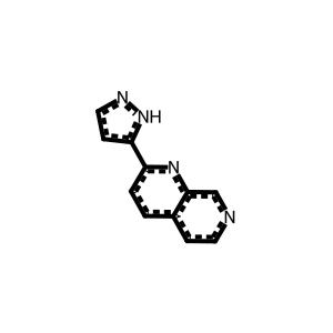 c1cc2ccc(-c3ccn[nH]3)nc2cn1